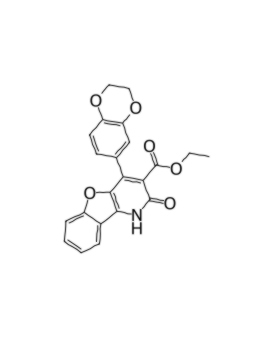 CCOC(=O)c1c(-c2ccc3c(c2)OCCO3)c2oc3ccccc3c2[nH]c1=O